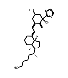 C=C1/C(=C\C=C2/CCC[C@]3(C)[C@@H]([C@H](C)CCCCO)CC[C@@H]23)CC(O)CC1(O)c1nccs1